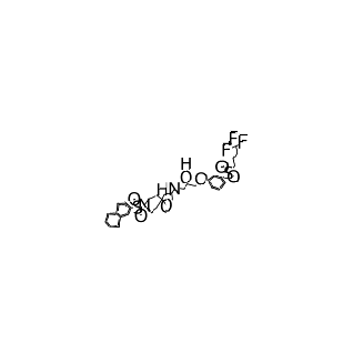 O=S(=O)(CCCC(F)(F)F)c1cccc(OCC(O)CNC2COC3(CCN(S(=O)(=O)c4ccc5ccccc5c4)CC3)C2)c1